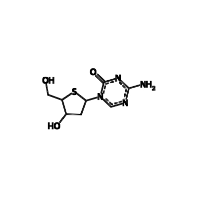 Nc1ncn(C2CC(O)C(CO)S2)c(=O)n1